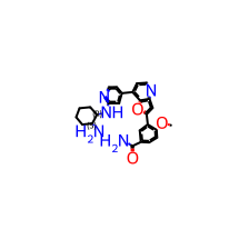 COc1ccc(C(N)=O)cc1-c1cc2nccc(-c3ccnc(N[C@@H]4CCCC[C@@H]4N)c3)c2o1